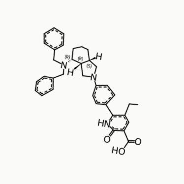 CCc1cc(C(=O)O)c(=O)[nH]c1-c1ccc(N2C[C@H]3CCC[C@@H](N(Cc4ccccc4)Cc4ccccc4)[C@H]3C2)cc1